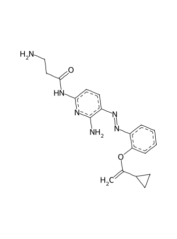 C=C(Oc1ccccc1/N=N/c1ccc(NC(=O)CCN)nc1N)C1CC1